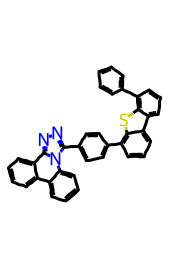 c1ccc(-c2cccc3c2sc2c(-c4ccc(-c5nnc6c7ccccc7c7ccccc7n56)cc4)cccc23)cc1